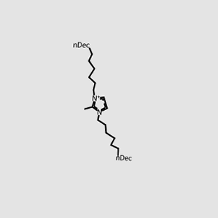 CCCCCCCCCCCCCCCCn1cc[n+](CCCCCCCCCCCCCCCC)c1C